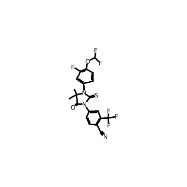 CC1(C)C(=O)N(c2ccc(C#N)c(C(F)(F)F)c2)C(=S)N1c1ccc(OC(F)F)c(F)c1